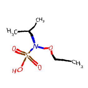 CCON(C(C)C)S(=O)(=O)O